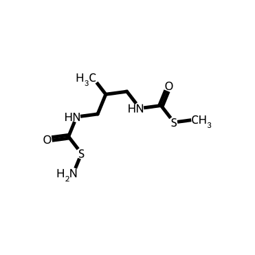 CSC(=O)NCC(C)CNC(=O)SN